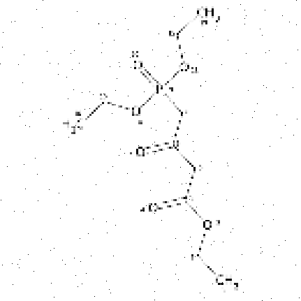 CCOC(=O)CC(=O)CP(=O)(OCC)OCC